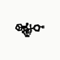 CC(C)(C)OC(=O)NC1C2CC1CN(C(=O)C(N)C(F)(F)c1ccc(Cl)cc1)C2